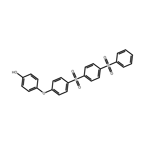 O=S(=O)(c1ccccc1)c1ccc(S(=O)(=O)c2ccc(Oc3ccc(O)cc3)cc2)cc1